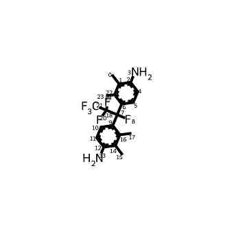 Cc1c(N)ccc(C(F)(c2ccc(N)c(C)c2C)C(F)(F)C(F)(F)F)c1C